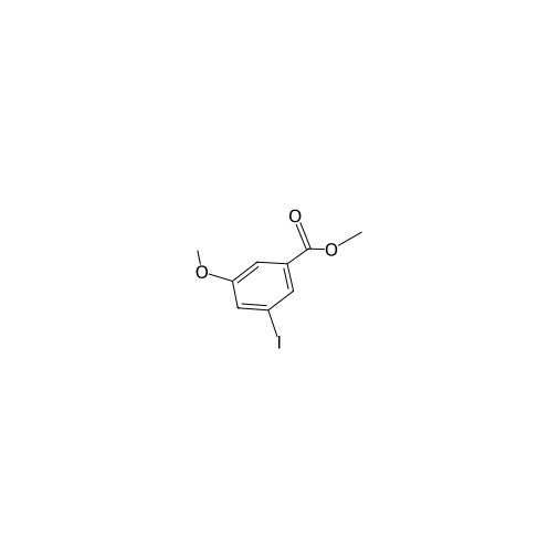 COC(=O)c1cc(I)cc(OC)c1